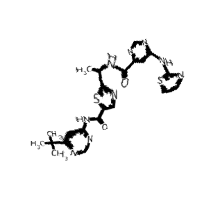 CC(NC(=O)c1cc(Nc2nccs2)ncn1)c1ncc(C(=O)Nc2cc(C(C)(C)C)ncn2)s1